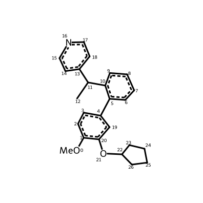 COc1ccc(-c2ccccc2C(C)c2ccncc2)cc1OC1CCCC1